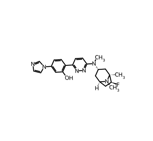 CN(c1ccc(-c2ccc(-n3ccnc3)cc2O)nn1)[C@H]1C[C@@H]2C[C@H](F)[C@](C)(C1)N2C